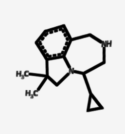 CC1(C)CN2c3c(cccc31)CNCC2C1CC1